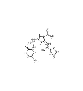 NC(=O)c1nc(Nc2ccc3ccc(N)cc3c2)sc1NC(=O)c1ccsc1